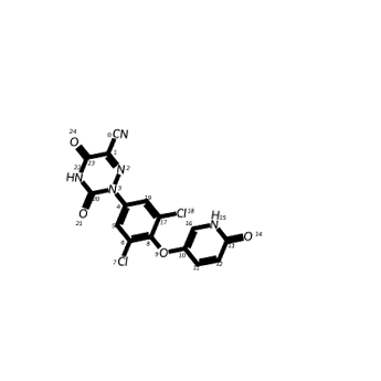 N#Cc1nn(-c2cc(Cl)c(Oc3ccc(=O)[nH]c3)c(Cl)c2)c(=O)[nH]c1=O